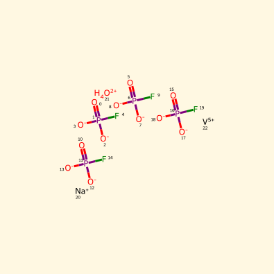 O=P([O-])([O-])F.O=P([O-])([O-])F.O=P([O-])([O-])F.O=P([O-])([O-])F.[Na+].[OH4+2].[V+5]